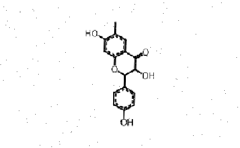 Cc1cc2c(cc1O)OC(c1ccc(O)cc1)C(O)C2=O